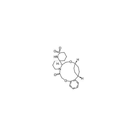 O=C1COc2ccccc2[C@H]2CC[C@H](CC2)OC[C@H]2N1CCC[C@]21CCCS(=O)(=O)N1